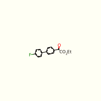 CCOC(=O)C(=O)c1ccc(-c2ccc(F)cc2)cc1